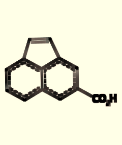 O=C(O)c1cc2c3c(cccc3c1)C=C2